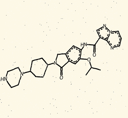 CC(C)Oc1cc2c(cc1NC(=O)c1cnn3cccnc13)CN(C1CCC(N3CCNCC3)CC1)C2=O